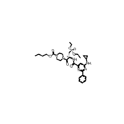 CCCCOC(=O)N1CCN(C(=O)[C@H](CP(=O)(OCC)OCC)NC(=O)c2cc(NC3CC3)nc(-c3ccccc3)n2)CC1